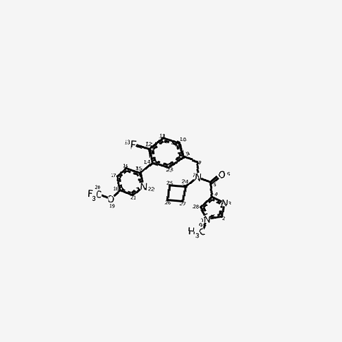 Cn1cnc(C(=O)N(Cc2ccc(F)c(-c3ccc(OC(F)(F)F)cn3)c2)C2CCC2)c1